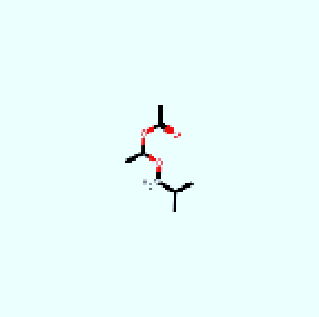 CC(=O)OC(C)O[SiH2]C(C)C